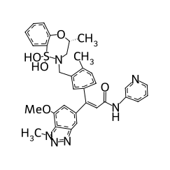 COc1cc(/C(=C/C(=O)Nc2cccnc2)c2ccc(C)c(CN3C[C@@H](C)Oc4ccccc4S3(O)O)c2)cc2nnn(C)c12